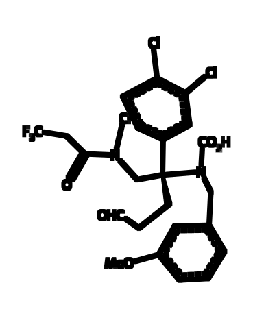 COc1cccc(CN(C(=O)O)[C@](CCC=O)(CN(C)C(=O)CC(F)(F)F)c2ccc(Cl)c(Cl)c2)c1